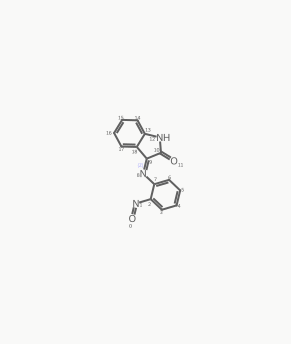 O=Nc1ccccc1/N=C1\C(=O)Nc2ccccc21